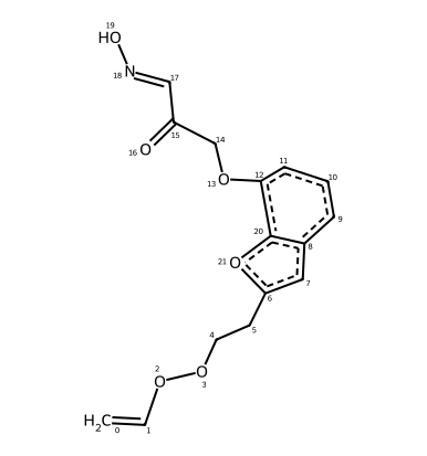 C=COOCCc1cc2cccc(OCC(=O)C=NO)c2o1